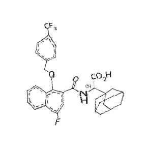 O=C(N[C@H](C(=O)O)C12CC3CC(CC(C3)C1)C2)c1cc(F)c2ccccc2c1OCc1ccc(C(F)(F)F)cc1